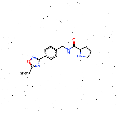 CCCCCc1nc(-c2ccc(CNC(=O)C3CCCN3)cc2)no1